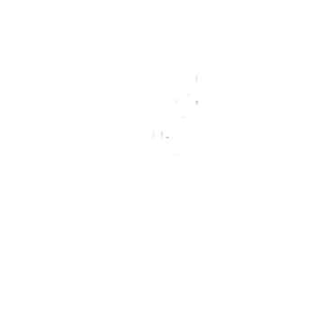 CCCCCCCCOC(=O)[C@@H](N)Cc1ccc(O)cc1